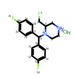 Cl.FCC1CNCCN1C(c1ccc(F)cc1)c1ccc(F)cc1